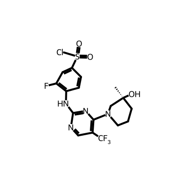 C[C@]1(O)CCCN(c2nc(Nc3ccc(S(=O)(=O)Cl)cc3F)ncc2C(F)(F)F)C1